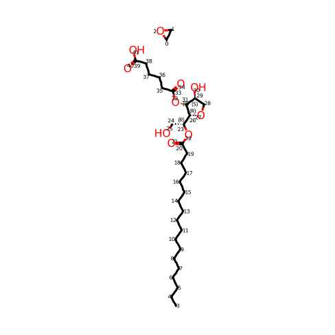 C1CO1.CCCCCCCCCCCCCCCCCC(=O)O[C@H](CO)[C@H]1OC[C@H](O)[C@H]1OC(=O)CCCCC(=O)O